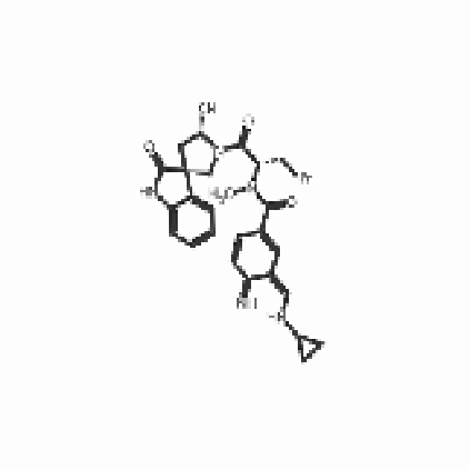 CC(C)C[C@@H](C(=O)N1C[C@]2(C[C@H]1C#N)C(=O)Nc1ccccc12)N(C)C(=O)C1=C/C(=C/NC2CC2)C(=N)C=C1